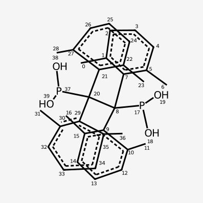 Cc1cccc(C)c1C(c1c(C)cccc1C)(P(O)O)C(c1c(C)cccc1C)(c1c(C)cccc1C)P(O)O